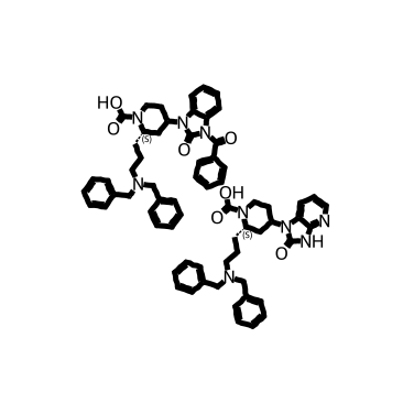 O=C(O)N1CCC(n2c(=O)[nH]c3ncccc32)C[C@@H]1CCCN(Cc1ccccc1)Cc1ccccc1.O=C(O)N1CCC(n2c(=O)n(C(=O)c3ccccc3)c3ccccc32)C[C@@H]1CCCN(Cc1ccccc1)Cc1ccccc1